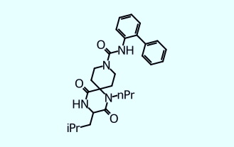 CCCN1C(=O)C(CC(C)C)NC(=O)C12CCN(C(=O)Nc1ccccc1-c1ccccc1)CC2